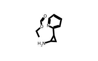 CCOC=O.NC1CC1c1ccccn1